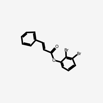 O=C(C=Cc1ccccc1)Oc1cccc(Br)c1Br